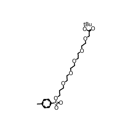 Cc1ccc(S(=O)(=O)OCCCOCCOCCOCCOCCOCC(=O)OC(C)(C)C)cc1